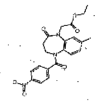 CCOC(=O)CN1C(=O)CCN(C(=O)c2ccc([N+](=O)[O-])cc2)c2ccc(C)cc21